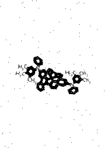 Cc1cc(N(c2ccccc2)c2ccc3c4c(ccc3c2)-c2c(c3ccc(N(c5ccccc5)c5cc(C)c(C)c(C)c5)cc3c3ccccc23)C42c3ccccc3-c3ccccc32)cc(C)c1C